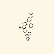 CC(=O)N(C)c1ccc(-c2cnc3[nH]c4ccc(NS(=O)(=O)c5ccoc5)cc4c3c2-c2ccccc2)cc1